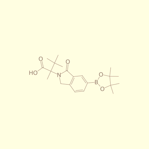 CC(C)(C)C(C)(C(=O)O)N1Cc2ccc(B3OC(C)(C)C(C)(C)O3)cc2C1=O